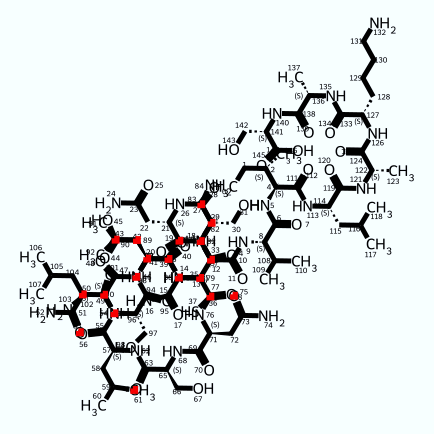 CC[C@H](C)[C@H](NC(=O)[C@@H](NC(=O)[C@H](CCC(N)=O)NC(=O)[C@H](CC(N)=O)NC(=O)[C@H](CO)NC(=O)[C@H](CS)NC(=O)[C@H](CC(=O)O)NC(=O)[C@H](CC(N)=O)NC(=O)[C@H](CC(C)C)NC(=O)[C@H](CO)NC(=O)[C@H](CC(N)=O)NC(=O)[C@H](CCCCN)NC(=O)[C@H](CC(C)C)NC(=O)[C@H](CO)NC(=O)[C@@H](N)CC(C)C)C(C)C)C(=O)N[C@@H](CC(C)C)C(=O)N[C@@H](C)C(=O)N[C@@H](CCCCN)C(=O)N[C@@H](C)C(=O)N[C@@H](CO)C(=O)O